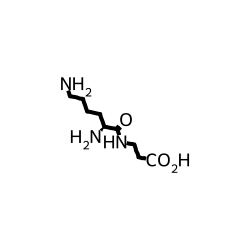 NCCCC[C@H](N)C(=O)NCCC(=O)O